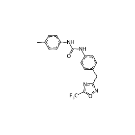 Cc1ccc(NC(=O)Nc2ccc(Cc3noc(C(F)(F)F)n3)cc2)cc1